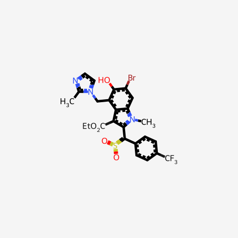 CCOC(=O)c1c(C(c2ccc(C(F)(F)F)cc2)=S(=O)=O)n(C)c2cc(Br)c(O)c(Cn3ccnc3C)c12